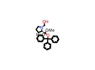 COC(OC)(OC(c1ccccc1)(c1ccccc1)c1ccccc1)[C@H]1CCCN1CO